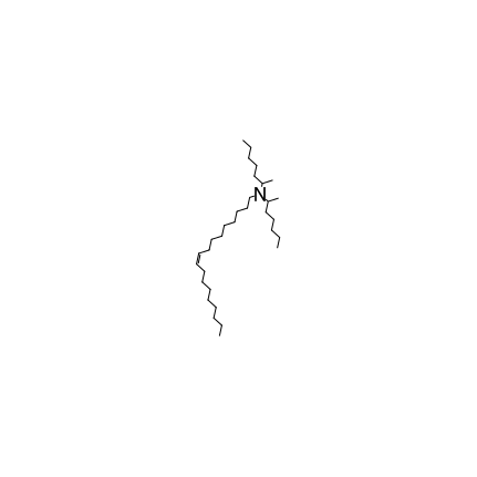 CCCCCCCC/C=C\CCCCCCCCN(C(C)CCCCC)C(C)CCCCC